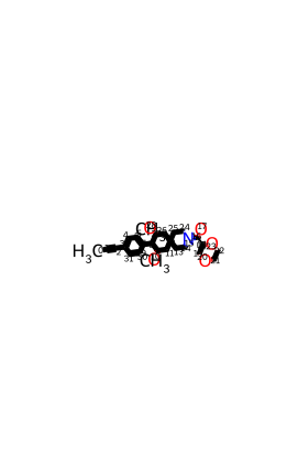 CC#Cc1cc(C)c(C2C(=O)CC3(CCN(C(=O)[C@@H]4COCCO4)CC3)CC2=O)c(C)c1